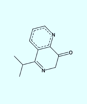 CC(C)C1=NCC(=O)c2ncccc21